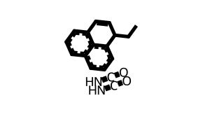 CCC1C=Cc2cccc3cccc1c23.N=C=O.N=C=O